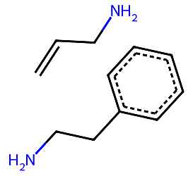 C=CCN.NCCc1ccccc1